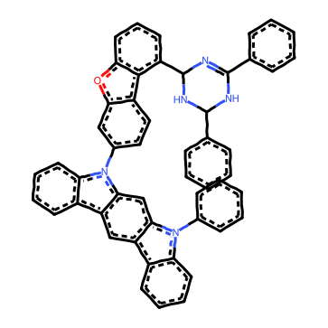 c1ccc(C2=NC(c3cccc4oc5cc(-n6c7ccccc7c7cc8c9ccccc9n(-c9ccccc9)c8cc76)ccc5c34)NC(c3ccccc3)N2)cc1